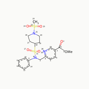 COC(=O)c1ccc(CN(c2ccccc2)S(=O)(=O)C2CCN(S(C)(=O)=O)CC2)nc1